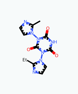 CCc1nccn1-n1c(=O)[nH]c(=O)n(-n2ccnc2C)c1=O